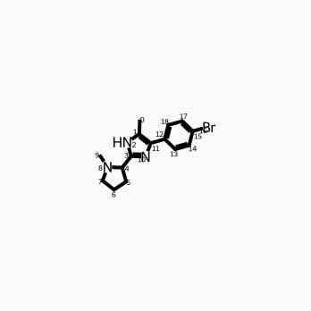 Cc1[nH]c(C2CCCN2C)nc1-c1ccc(Br)cc1